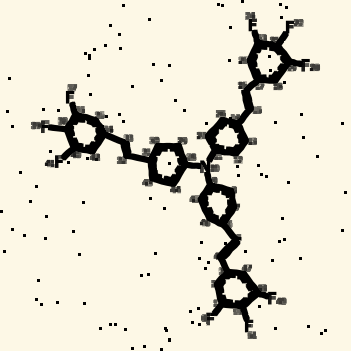 Fc1cc(/C=C/c2ccc(N(c3ccc(/C=C/c4cc(F)c(F)c(F)c4)cc3)c3ccc(/C=C/c4cc(F)c(F)c(F)c4)cc3)cc2)cc(F)c1F